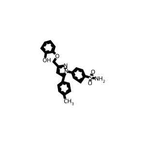 Cc1ccc(-c2cc(COc3ccccc3O)nn2-c2ccc(S(N)(=O)=O)cc2)cc1